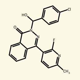 Cc1ccc(-c2nn(C(O)c3ccc(Cl)cc3)c(=O)c3ccccc23)c(F)n1